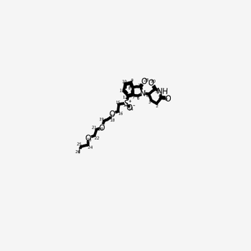 O=C1CCC(N2Cc3c(cccc3[S+]([O-])CCOCCOCCOCCI)C2=O)C(=O)N1